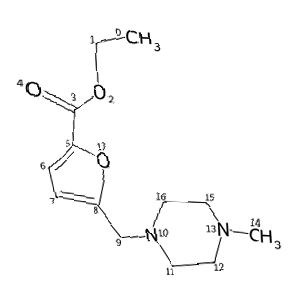 CCOC(=O)c1ccc(CN2CCN(C)CC2)o1